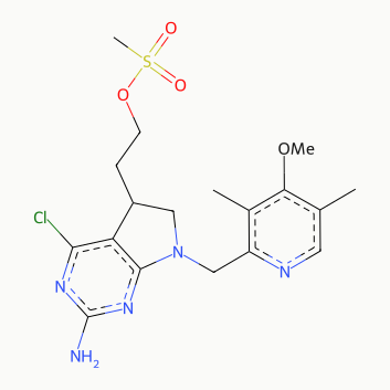 COc1c(C)cnc(CN2CC(CCOS(C)(=O)=O)c3c(Cl)nc(N)nc32)c1C